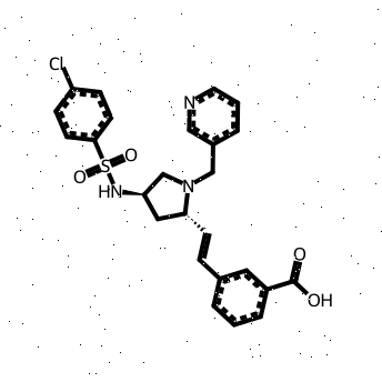 O=C(O)c1cccc(C=C[C@@H]2C[C@@H](NS(=O)(=O)c3ccc(Cl)cc3)CN2Cc2cccnc2)c1